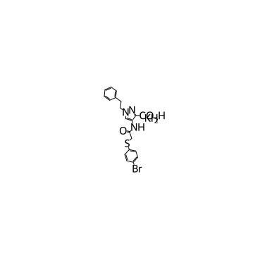 O=C(CSc1ccc(Br)cc1)Nc1cn(CCc2ccccc2)nc1C(=O)O.[KH]